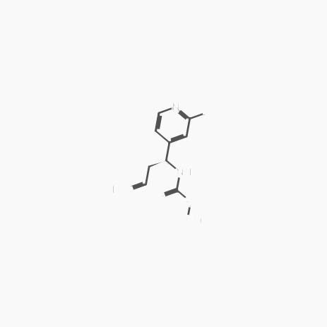 C=CC[C@H](NC(=O)OC(C)(C)C)c1ccnc(Br)c1